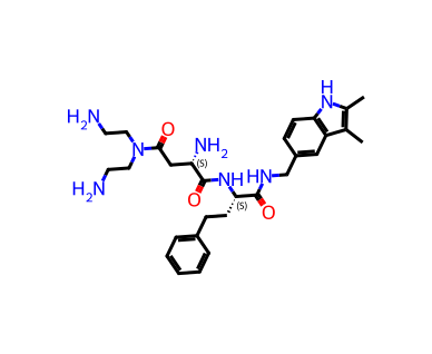 Cc1[nH]c2ccc(CNC(=O)[C@H](CCc3ccccc3)NC(=O)[C@@H](N)CC(=O)N(CCN)CCN)cc2c1C